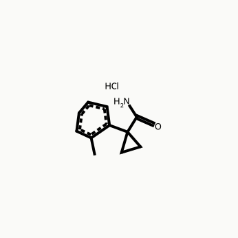 Cc1ccccc1C1(C(N)=O)CC1.Cl